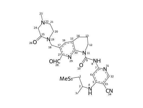 CSCC(C)Nc1cc(NC(=O)N2CCCc3cc(CN4CCN(C)CC4=O)c(C=O)nc32)ncc1C#N